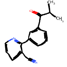 CC(C)C(=O)c1cccc(-c2ncccc2C#N)c1